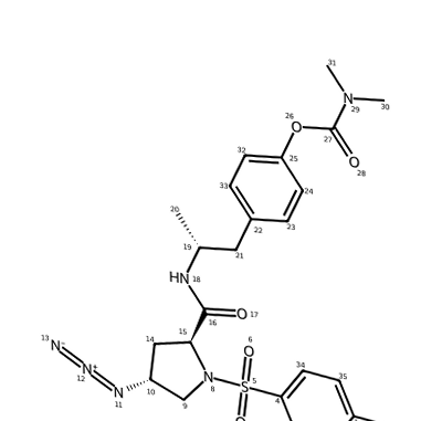 Cc1ccc(S(=O)(=O)N2C[C@H](N=[N+]=[N-])C[C@H]2C(=O)N[C@H](C)Cc2ccc(OC(=O)N(C)C)cc2)cc1